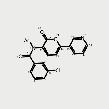 CC(=O)N(C(=O)c1cccc(Cl)c1)c1ccc(-c2cccnc2)oc1=O